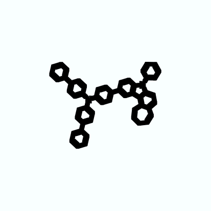 C1=Cc2ccc3c(c2C=CC1)c1cc(-c2ccc(N(c4ccc(-c5ccccc5)cc4)c4ccc(-c5ccccc5)cc4)cc2)ccc1n3-c1ccccc1